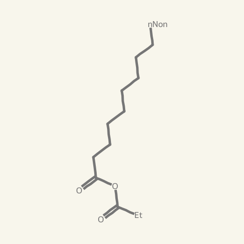 CCCCCCCCCCCCCCCCCC(=O)OC(=O)CC